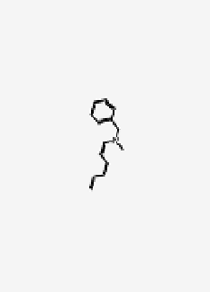 C=C/C=C\C=C/N(C)Cc1ccccc1